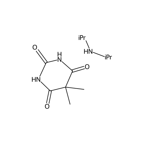 CC(C)NC(C)C.CC1(C)C(=O)NC(=O)NC1=O